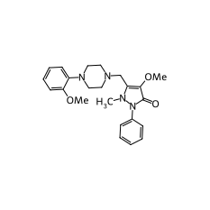 COc1ccccc1N1CCN(Cc2c(OC)c(=O)n(-c3ccccc3)n2C)CC1